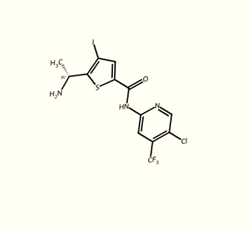 C[C@@H](N)c1sc(C(=O)Nc2cc(C(F)(F)F)c(Cl)cn2)cc1I